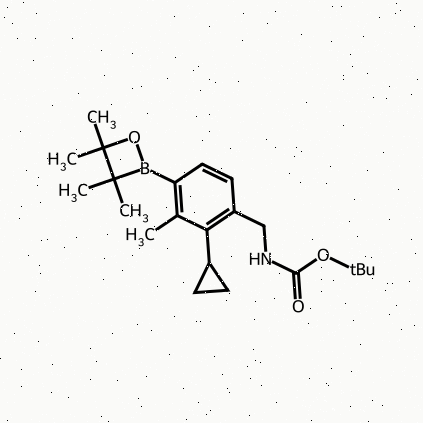 Cc1c(B2OC(C)(C)C2(C)C)ccc(CNC(=O)OC(C)(C)C)c1C1CC1